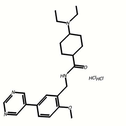 CCN(CC)C1CCC(C(=O)NCc2cc(-c3cncnc3)ccc2OC)CC1.Cl.Cl